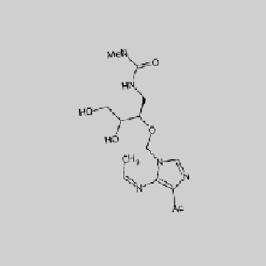 C/C=N\c1c(C(C)=O)ncn1CO[C@H](CNC(=O)NC)C(O)CO